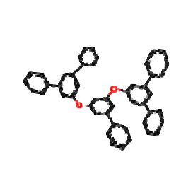 c1ccc(-c2cc(Oc3cc(-c4ccccc4)cc(-c4ccccc4)c3)cc(Oc3cc(-c4ccccc4)cc(-c4ccccc4)c3)c2)cc1